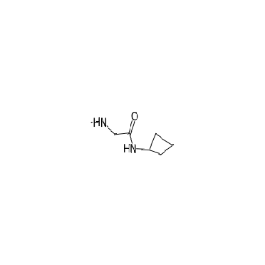 [NH]CC(=O)NC1CCC1